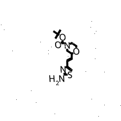 CC(C)(C)OC(=O)N1CCOC(C=Cc2csc(N)n2)C1